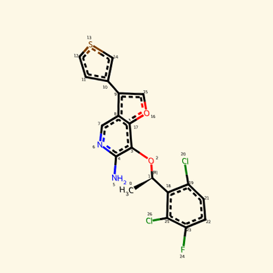 C[C@@H](Oc1c(N)ncc2c(-c3ccsc3)coc12)c1c(Cl)ccc(F)c1Cl